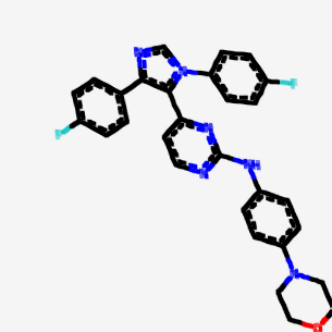 Fc1ccc(-c2ncn(-c3ccc(F)cc3)c2-c2ccnc(Nc3ccc(N4CCOCC4)cc3)n2)cc1